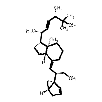 C[C@H](/C=C/[C@H](C)C(C)(C)O)[C@H]1CC[C@H]2/C(=C/[C@@H](CO)[C@@]34C=CC[C@@H]3C4)CCC[C@]12C